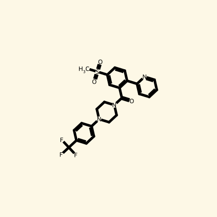 CS(=O)(=O)c1ccc(-c2ccccn2)c(C(=O)N2CCN(c3ccc(C(F)(F)F)cc3)CC2)c1